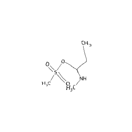 CCC(NC)OS(C)(=O)=O